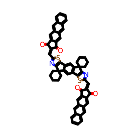 O=C1C(=Cc2nc3c(s2)-c2cc4c(cc2C32CCCCC2)-c2sc(C=C3C(=O)c5cc6cc7ccccc7cc6cc5C3=O)nc2C42CCCCC2)C(=O)c2cc3cc4ccccc4cc3cc21